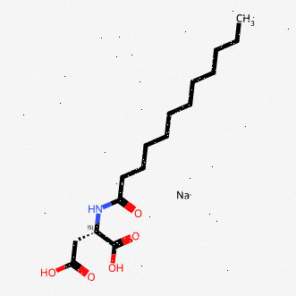 CCCCCCCCCCCC(=O)N[C@@H](CC(=O)O)C(=O)O.[Na]